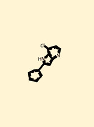 Clc1ccnc2cc(-c3ccccc3)[nH]c12